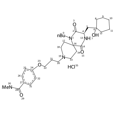 CCCCN1C(=O)[C@@H](CC2(O)CCCCC2)NC(=O)C12CCN(CCCOc1ccc(C(=O)NC)cc1)CC2.Cl